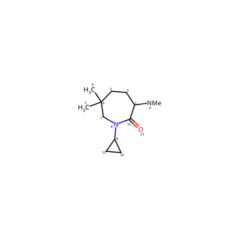 CNC1CCC(C)(C)CN(C2CC2)C1=O